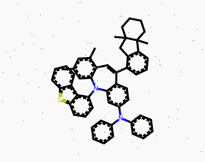 Cc1cc(C)c2c(c1)N(c1cccc3sc4ccccc4c13)c1cc(N(c3ccccc3)c3ccccc3)ccc1C(c1cccc3c1CC1(C)CCCCC31C)=C2